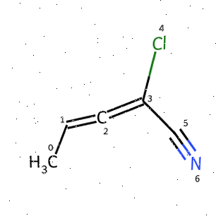 CC=C=C(Cl)C#N